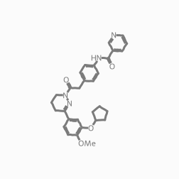 COc1ccc(C2=NN(C(=O)Cc3ccc(NC(=O)c4cccnc4)cc3)CCC2)cc1OC1CCCC1